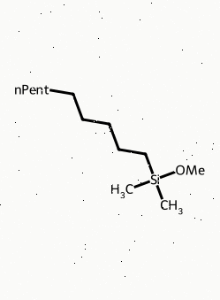 CCCCCCCCCC[Si](C)(C)OC